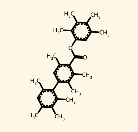 Cc1cc(OC(=O)c2c(C)cc(-c3c(C)cc(C)c(C)c3C)c(C)c2C)c(C)c(C)c1C